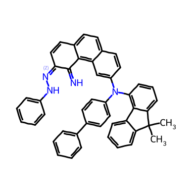 CC1(C)c2ccccc2-c2c(N(c3ccc(-c4ccccc4)cc3)c3ccc4ccc5c(c4c3)C(=N)/C(=N\Nc3ccccc3)C=C5)cccc21